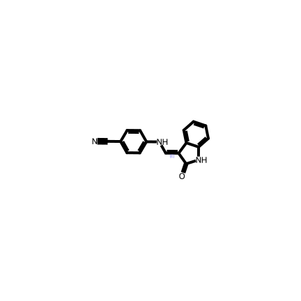 N#Cc1ccc(N/C=C2/C(=O)Nc3ccccc32)cc1